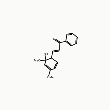 COC1=CC(O)(OC)C(C=CC(=O)c2ccccc2)C=C1